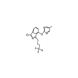 Cc1cnc(Oc2cccc3c(Cl)nn(CCCC(F)(F)F)c23)nc1